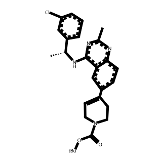 Cc1nc(N[C@H](C)c2cccc(Cl)c2)c2cc(C3=CCN(C(=O)OC(C)(C)C)CC3)ccc2n1